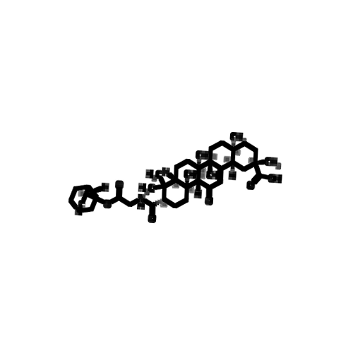 CC1(C)[C@@H](C(=O)NCC(=O)O[C@@H]2CN3CCC2CC3)CC[C@]2(C)[C@H]3C(=O)C=C4[C@@H]5C[C@@](C)(C(=O)O)CC[C@]5(C)CC[C@@]4(C)[C@]3(C)CC[C@@H]12